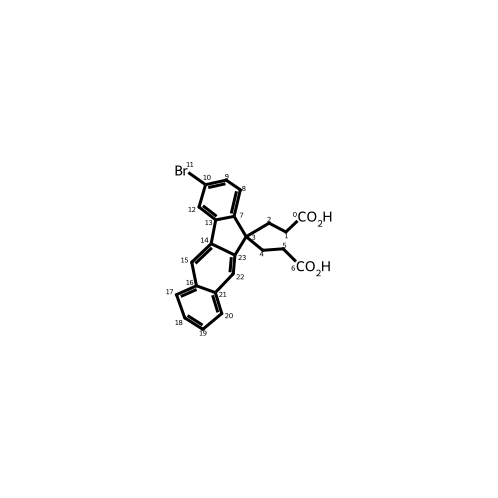 O=C(O)CCC1(CCC(=O)O)c2ccc(Br)cc2-c2cc3ccccc3cc21